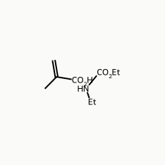 C=C(C)C(=O)O.CCNC(=O)OCC